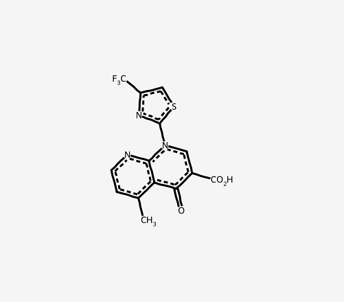 Cc1ccnc2c1c(=O)c(C(=O)O)cn2-c1nc(C(F)(F)F)cs1